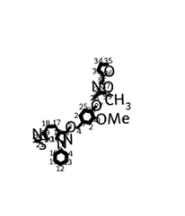 COc1cc(COc2nn(-c3ccccc3)cc2/C=C\c2cscn2)ccc1OCc1nc(-c2ccco2)oc1C